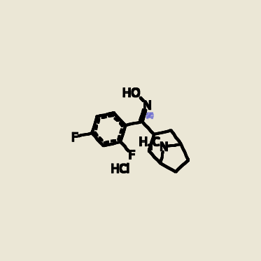 CN1C2CCC1CC(/C(=N/O)c1ccc(F)cc1F)C2.Cl